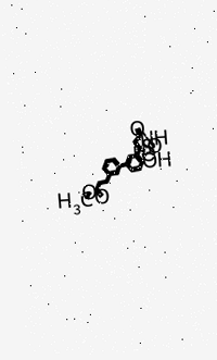 COC(=O)CCc1cccc(-c2ccc(O)c(N3CC(=O)NS3(=O)=O)c2)c1